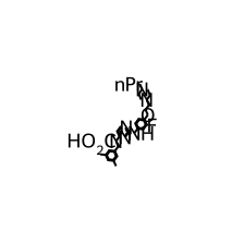 CCCN1CCN(CCOc2ccc(Nc3nccc(N(Cc4cc(C)cc(C)c4)C(=O)O)n3)cc2F)CC1